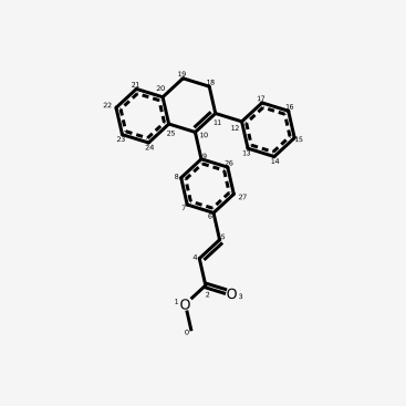 COC(=O)C=Cc1ccc(C2=C(c3ccccc3)CCc3ccccc32)cc1